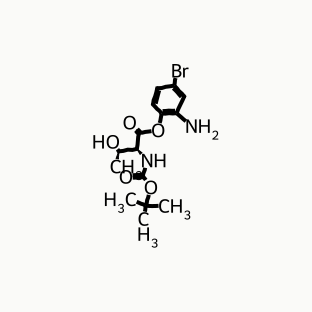 C[C@@H](O)[C@H](NC(=O)OC(C)(C)C)C(=O)Oc1ccc(Br)cc1N